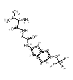 CC(C)[C@@H](N)C(=O)NCC(=O)Nc1nc2ccc(OC(F)(F)F)cc2s1